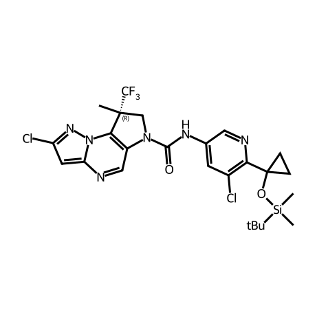 CC(C)(C)[Si](C)(C)OC1(c2ncc(NC(=O)N3C[C@@](C)(C(F)(F)F)c4c3cnc3cc(Cl)nn43)cc2Cl)CC1